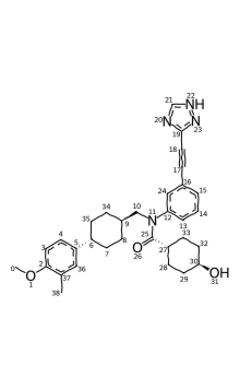 COc1ccc([C@H]2CC[C@H](CN(c3cccc(C#Cc4nc[nH]n4)c3)C(=O)[C@H]3CC[C@H](O)CC3)CC2)cc1C